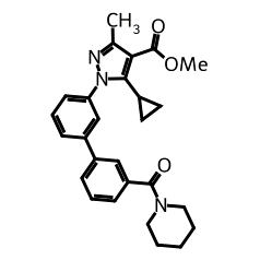 COC(=O)c1c(C)nn(-c2cccc(-c3cccc(C(=O)N4CCCCC4)c3)c2)c1C1CC1